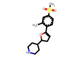 Cc1cc(S(C)(=O)=O)ccc1C1=CCC(C2CCNCC2)O1